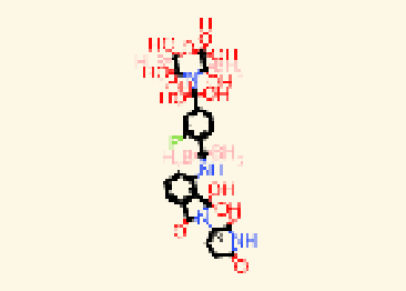 BC(B)(Nc1cccc2c1C(O)(O)N([C@H]1CCC(=O)NC1=O)C2=O)c1ccc(C(O)(O)N2C(B)(O)C(O)(O)OC(B)(O)C2(O)O)cc1F